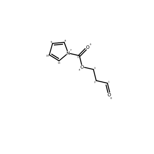 O=CCCOC(=O)n1cccc1